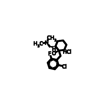 CN(C)C[C@@H]1CCCC[C@]1(O)Cc1c(F)cccc1Cl.Cl